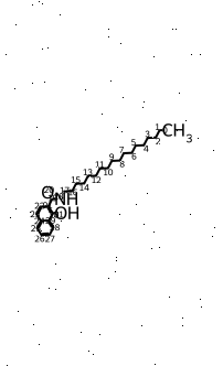 CCCCCCCCCCCCCCCCCCNC(=O)c1ccc2ccccc2c1O